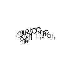 [2H]C1([2H])OC([2H])([2H])C([2H])([2H])N(C(=O)Nc2cc3nc(-c4cnc(C)n4C)ccc3cn2)C1([2H])[2H]